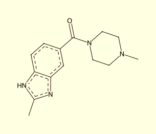 Cc1nc2cc(C(=O)N3CCN(C)CC3)ccc2[nH]1